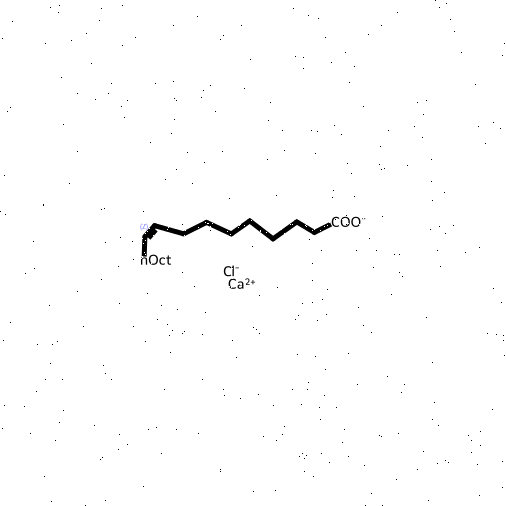 CCCCCCCC/C=C\CCCCCCCC(=O)[O-].[Ca+2].[Cl-]